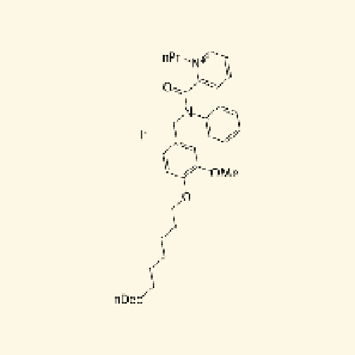 CCCCCCCCCCCCCCCCOc1ccc(CN(C(=O)c2cccc[n+]2CCC)c2ccccc2)cc1OC.[I-]